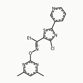 CC/C(=N\Oc1nc(C)cc(C)n1)c1sc(-c2cccnc2)nc1Cl